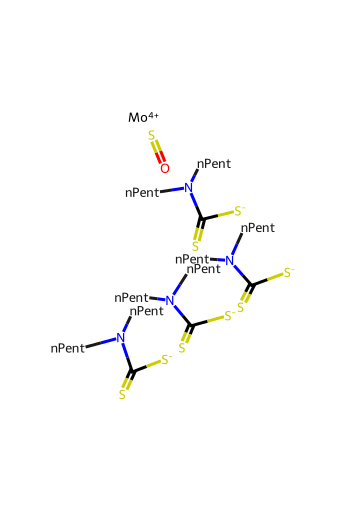 CCCCCN(CCCCC)C(=S)[S-].CCCCCN(CCCCC)C(=S)[S-].CCCCCN(CCCCC)C(=S)[S-].CCCCCN(CCCCC)C(=S)[S-].O=S.[Mo+4]